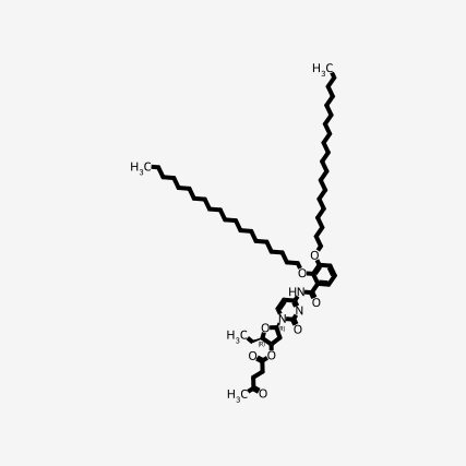 CCCCCCCCCCCCCCCCCCCCOc1cccc(C(=O)Nc2ccn([C@H]3CC(OC(=O)CCC(C)=O)[C@@H](CC)O3)c(=O)n2)c1OCCCCCCCCCCCCCCCCCCCC